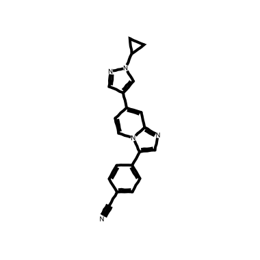 N#Cc1ccc(-c2cnc3cc(-c4cnn(C5CC5)c4)ccn23)cc1